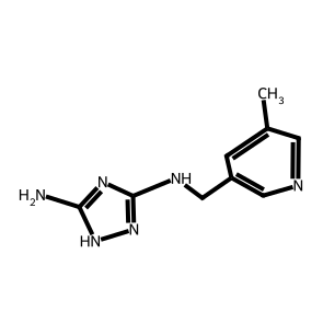 Cc1cncc(CNc2n[nH]c(N)n2)c1